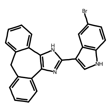 Brc1ccc2[nH]cc(-c3nc4c([nH]3)-c3ccccc3Cc3ccccc3-4)c2c1